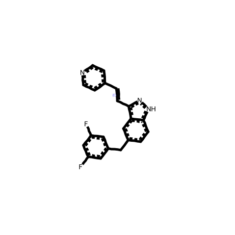 Fc1cc(F)cc(Cc2ccc3[nH]nc(/C=C/c4ccncc4)c3c2)c1